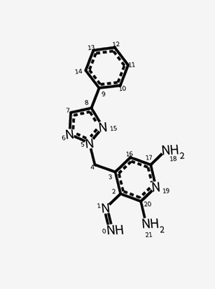 N=Nc1c(Cn2ncc(-c3ccccc3)n2)cc(N)nc1N